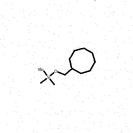 CC(C)(C)[Si](C)(C)OC[C]1CCCCCCC1